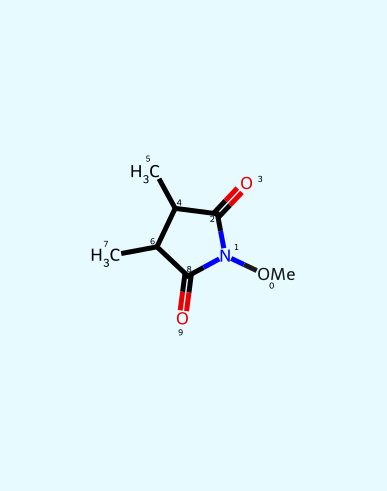 CON1C(=O)C(C)C(C)C1=O